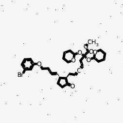 COC(=O)C(CC=C=CC[C@H]1C(=O)CC[C@@H]1/C=C/CCOc1cccc(Br)c1)(OC1CCCCO1)OC1CCCCO1